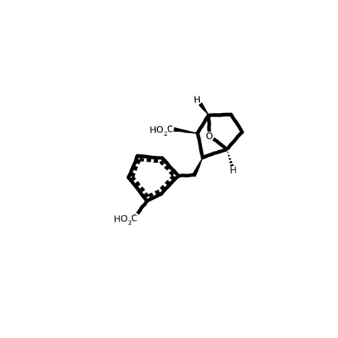 O=C(O)c1cccc(C[C@H]2[C@@H](C(=O)O)[C@@H]3CC[C@@H]2O3)c1